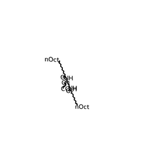 CCCCCCCCC=CCCCCCCCC(=O)NCCN(CCNC(=O)CCCCCCCC=CCCCCCCCC)C(=O)C=CC(=O)O